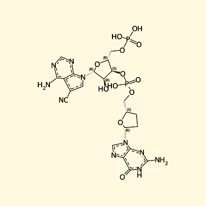 N#Cc1cn([C@@H]2O[C@H](COP(=O)(O)O)[C@@H](OP(=O)(O)OC[C@@H]3CC[C@H](n4cnc5c(=O)[nH]c(N)nc54)O3)[C@H]2O)c2ncnc(N)c12